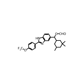 CC1CC(C(OC=O)c2ccc3[nH]c(-c4ccc(OC(F)(F)F)cc4)nc3c2)CC(C)(C)C1